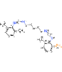 Cc1cccc(C)c1N=C=NCCCCCN=C=Nc1c(C)cccc1P